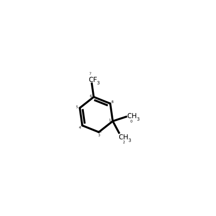 CC1(C)[CH]C=CC(C(F)(F)F)=C1